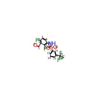 O=Cc1c(F)ccc(NS(=O)(=O)c2cccc(C(F)(F)F)c2)c1F